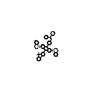 CC1(C)c2ccccc2-c2ccc(-c3c4ccc(N5CCCc6ccccc65)cc4c(-c4ccc(/C=C(/C5=CC=CCC5)c5ccccc5)cc4)c4ccc(N5CCCc6ccccc65)cc34)cc21